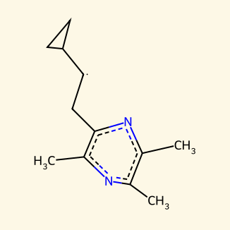 Cc1nc(C)c(C[CH]C2CC2)nc1C